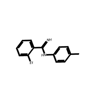 CCc1ccccc1C(=N)Nc1ccc(C)cc1